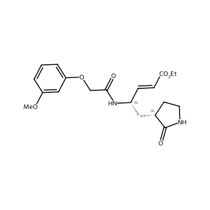 CCOC(=O)C=C[C@H](C[C@@H]1CCNC1=O)NC(=O)COc1cccc(OC)c1